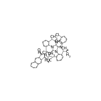 CC(C)c1cccc(C(C)C)c1N1/C(=C/C=C2C(=O)c3cc4ccccc4cc3C2=O)N(c2c(C(C)C)cccc2C(C)C)c2nc3c(Cl)cccc3nc21